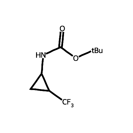 CC(C)(C)OC(=O)NC1CC1C(F)(F)F